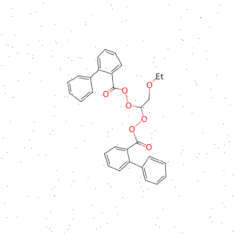 [CH2]COC[C](OOC(=O)c1ccccc1-c1ccccc1)OOC(=O)c1ccccc1-c1ccccc1